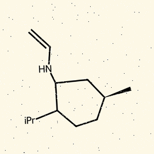 C=CNC1C[C@@H](C)CCC1C(C)C